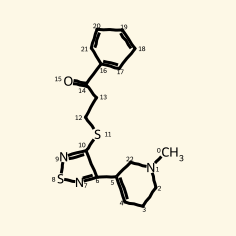 CN1CCC=C(c2nsnc2SCCC(=O)c2ccccc2)C1